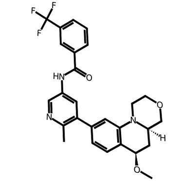 CO[C@@H]1C[C@@H]2COCCN2c2cc(-c3cc(NC(=O)c4cccc(C(F)(F)F)c4)cnc3C)ccc21